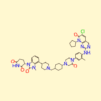 Cc1cc(N2CCN(C3CCC(CN4CCC(c5cccc6c5n(C)c(=O)n6C5CCC(=O)NC5=O)CC4)CC3)CC2=O)ccc1Nc1ncc2cc(Cl)c(=O)n(C3CCCC3)c2n1